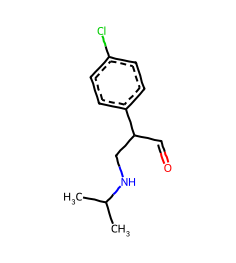 CC(C)NCC(C=O)c1ccc(Cl)cc1